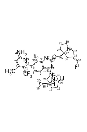 Cc1cc(N)nc(-c2ccc3c(N4C[C@@H]5CC[C@](C6CC6)(C4)N5)nc(OC[C@@]45CCCN4C/C(=C/F)C5)nc3c2F)c1C(F)(F)F